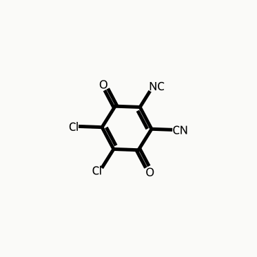 [C-]#[N+]C1=C(C#N)C(=O)C(Cl)=C(Cl)C1=O